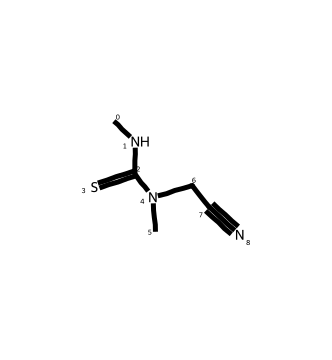 CNC(=S)N(C)CC#N